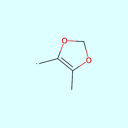 [CH2]C1=C(C)OCO1